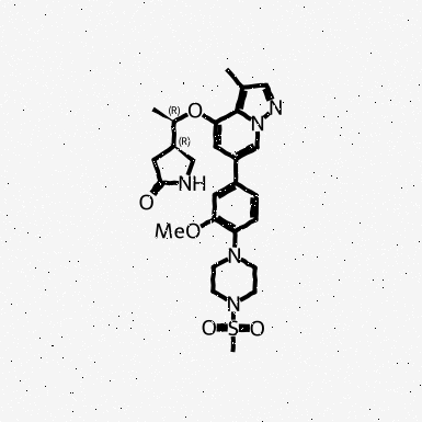 COc1cc(-c2cc(O[C@H](C)[C@H]3CNC(=O)C3)c3c(C)cnn3c2)ccc1N1CCN(S(C)(=O)=O)CC1